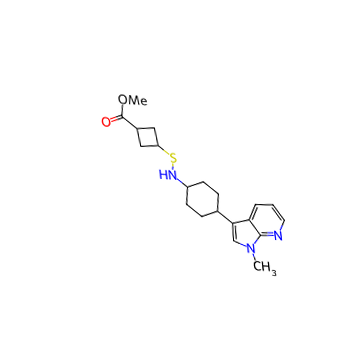 COC(=O)C1CC(SNC2CCC(c3cn(C)c4ncccc34)CC2)C1